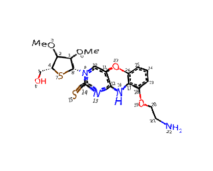 COC1C(OC)[C@@H](CO)S[C@H]1n1cc2c(nc1=S)Nc1c(OCCN)cccc1O2